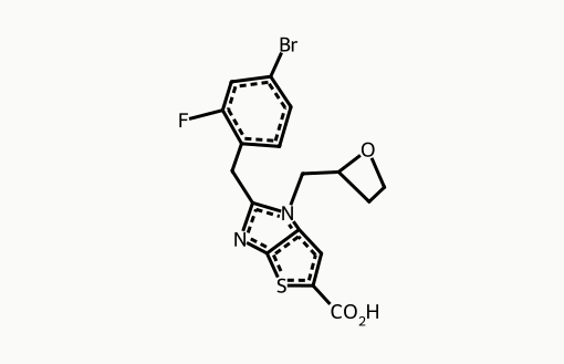 O=C(O)c1cc2c(nc(Cc3ccc(Br)cc3F)n2CC2CCO2)s1